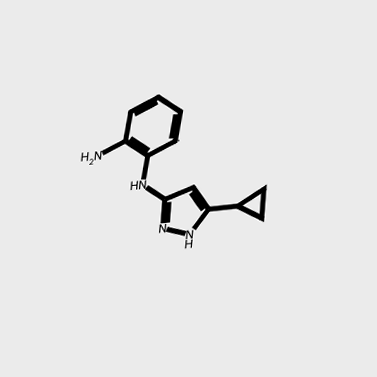 Nc1ccc[c]c1Nc1cc(C2CC2)[nH]n1